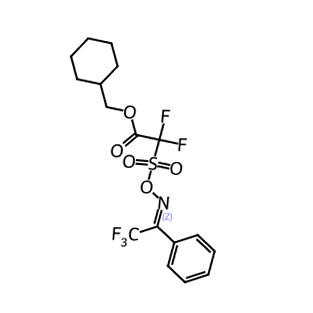 O=C(OCC1CCCCC1)C(F)(F)S(=O)(=O)O/N=C(/c1ccccc1)C(F)(F)F